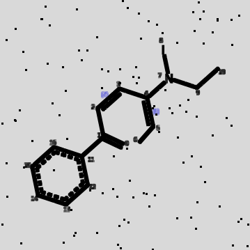 C=C(/C=C\C(=C/C)N(I)CC)c1ccccc1